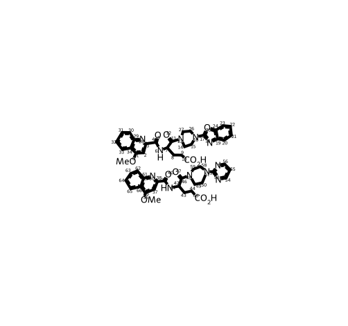 COc1cc(C(=O)NC(CCC(=O)O)C(=O)N2CCN(c3nc4ccccc4o3)CC2)nc2ccccc12.COc1cc(C(=O)NC(CCC(=O)O)C(=O)N2CCN(c3ncccn3)CC2)nc2ccccc12